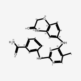 Cc1cnc(Nc2cccc(C(N)=O)c2)nc1Nc1ccc2c(c1)NC(=O)CO2